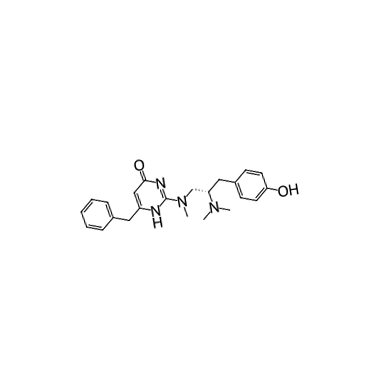 CN(C[C@H](Cc1ccc(O)cc1)N(C)C)c1nc(=O)cc(Cc2ccccc2)[nH]1